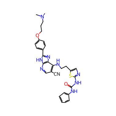 CN(C)CCCOc1ccc(-c2nc3c(NCCc4cnc(NC(=O)Nc5ccccc5)s4)c(C#N)cnc3[nH]2)cc1